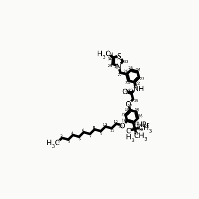 Br.CCCCCCCCCCCCOc1cc(OCC(=O)Nc2cccc(CN3C=C(C)SC3)c2)ccc1C(C)(C)C